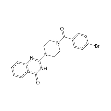 O=C(c1ccc(Br)cc1)N1CCN(c2nc3ccccc3c(=O)[nH]2)CC1